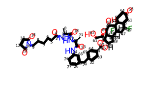 C[C@H](NC(=O)CCCCCN1C(=O)C=CC1=O)C(=O)N[C@@H](C)C(=O)Nc1cccc(Cc2ccc([C@@H]3O[C@@H]4C[C@@H]5C(C[C@H](O)[C@@]6(F)[C@H]5C[C@H](F)C5=CC(=O)C=C[C@@]56C)[C@]4(C(=O)CO)O3)cc2)c1